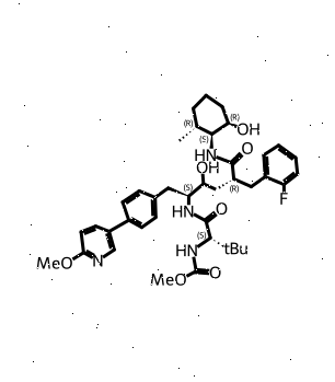 COC(=O)N[C@H](C(=O)N[C@@H](Cc1ccc(-c2ccc(OC)nc2)cc1)C(O)C[C@@H](Cc1ccccc1F)C(=O)N[C@H]1[C@H](C)CCC[C@H]1O)C(C)(C)C